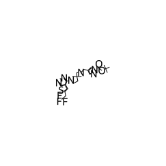 CC(C)(C)OC(=O)n1cc(CN2CC3(CCN(c4ncnc5sc(CC(F)(F)F)cc45)C3)C2)cn1